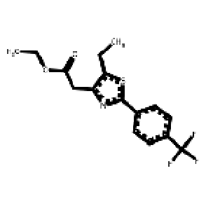 CCOC(=O)Cc1nc(-c2ccc(C(F)(F)F)cc2)sc1CC